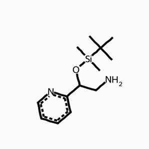 CC(C)(C)[Si](C)(C)OC(CN)c1ccccn1